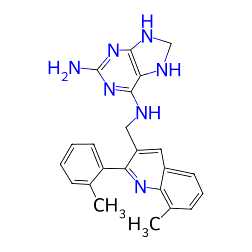 Cc1ccccc1-c1nc2c(C)cccc2cc1CNc1nc(N)nc2c1NCN2